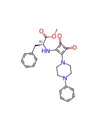 COC(=O)[C@H](Cc1ccccc1)Nc1c(N2CCN(c3ccccc3)CC2)c(=O)c1=O